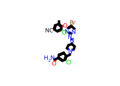 Cc1cc(C#N)cc(Cl)c1Oc1nc(/N=N/C2CCN(Cc3ccc(C(N)=O)cc3Cl)CC2)ncc1Br